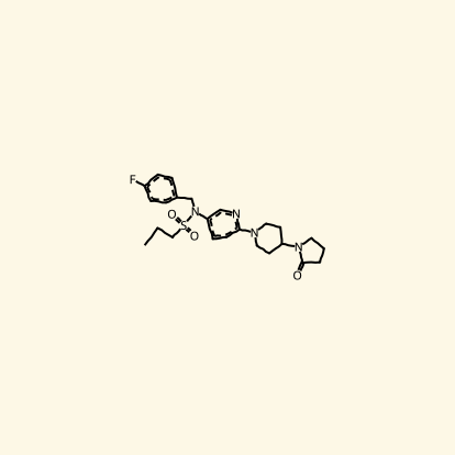 CCCS(=O)(=O)N(Cc1ccc(F)cc1)c1ccc(N2CCC(N3CCCC3=O)CC2)nc1